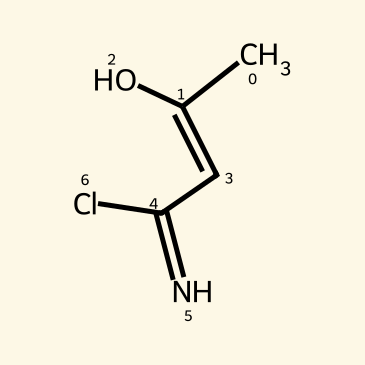 C/C(O)=C/C(=N)Cl